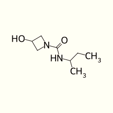 CCC(C)NC(=O)N1CC(O)C1